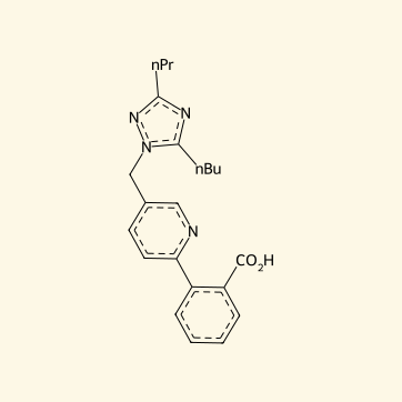 CCCCc1nc(CCC)nn1Cc1ccc(-c2ccccc2C(=O)O)nc1